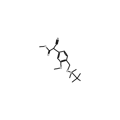 COC(=O)C(C#N)c1ccc(CO[Si](C)(C)C(C)(C)C)c(OC)c1